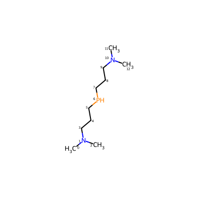 CN(C)CCCPCCCN(C)C